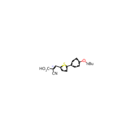 CCCCOc1ccc(-c2ccc(/C=C(\C#N)C(=O)O)s2)cc1